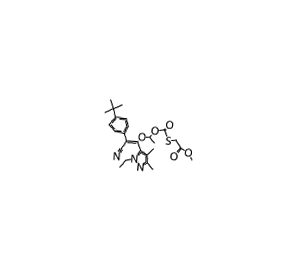 CCn1nc(C)c(C)c1/C(OC(C)OC(=O)SCC(=O)OC)=C(\C#N)c1ccc(C(C)(C)C)cc1